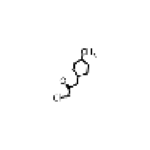 CC1CCC(CC(=O)CCl)CC1